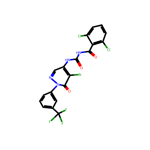 O=C(NC(=O)c1c(Cl)cccc1Cl)Nc1cnn(-c2cccc(C(F)(F)F)c2)c(=O)c1Br